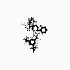 C[C@@H](OC[C@@]1(c2ccccc2)CC[C@@](C(N)=O)(n2cnnc2)CN1)c1cc(C(F)(F)F)cc(C(F)(F)F)c1